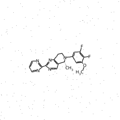 COc1cc(N2CCc3nc(-c4ncccn4)ncc3[C@H]2C)cc(F)c1F